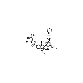 Cc1ccc(C(=O)N/C(N)=C/C(=N)C(C)(C)C)cc1Nc1ncnc2c(N)nc(N3CCC(N4CCCCC4)CC3)nc12